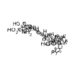 Cc1ccc(F)cc1-c1cc([C@H](N(CC[C@H](N)C(=O)NCCOCCNC(=O)CC(SC[C@H](N)C(=O)O)C(=O)O)C(=O)CO)C(C)(C)C)n(Cc2ccccc2)c1